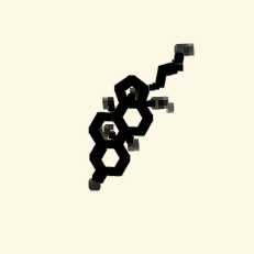 C[C@]12CC[C@H]3[C@@H](CCC4=CC(=O)CC[C@@]43C)[C@@H]1CC[C@@H]2CC=NO